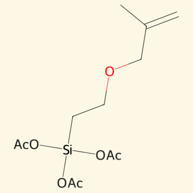 C=C(C)COCC[Si](OC(C)=O)(OC(C)=O)OC(C)=O